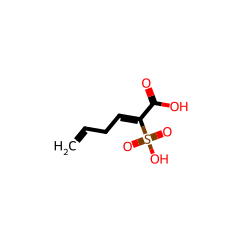 C=CC/C=C(/C(=O)O)S(=O)(=O)O